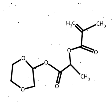 C=C(C)C(=O)OC(C)C(=O)OC1COCCO1